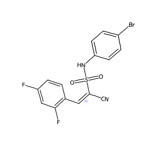 N#C/C(=C/c1ccc(F)cc1F)S(=O)(=O)Nc1ccc(Br)cc1